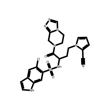 N#Cc1cccn1CCC(NS(=O)(=O)c1cc2[nH]ccc2cc1Cl)C(=O)N1CCn2cnnc2C1